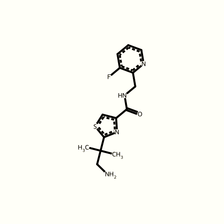 CC(C)(CN)c1nc(C(=O)NCc2ncccc2F)cs1